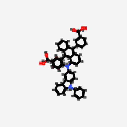 O=C(O)c1cccc(-c2c3ccccc3c(-c3cccc(C(=O)O)c3)c3c(N(c4ccccc4)c4ccc5c(c4)c4ccccc4n5-c4ccccc4)cccc23)c1